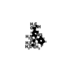 CNC(=O)c1cnc(N(C(=O)OC(C)(C)C)c2cc(F)ccc2Cl)c(N)c1